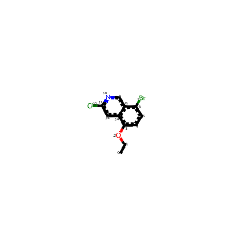 CCOc1ccc(Br)c2cnc(Cl)cc12